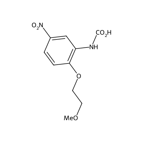 COCCOc1ccc([N+](=O)[O-])cc1NC(=O)O